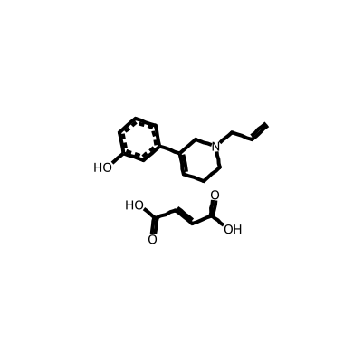 C=CCN1CCC=C(c2cccc(O)c2)C1.O=C(O)/C=C/C(=O)O